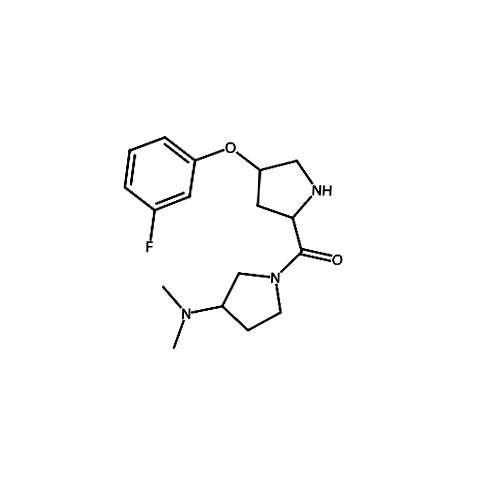 CN(C)C1CCN(C(=O)C2CC(Oc3cccc(F)c3)CN2)C1